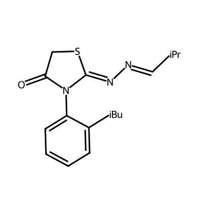 CCC(C)c1ccccc1N1C(=O)CS/C1=N\N=C\C(C)C